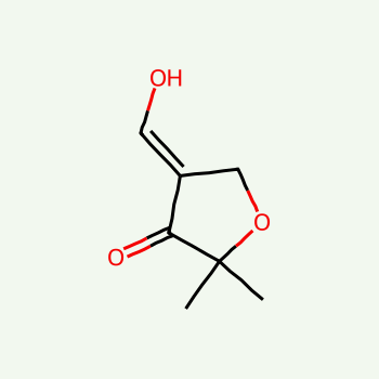 CC1(C)OCC(=CO)C1=O